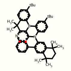 CC(C)(C)c1ccc2c(c1)B1c3cc(C(C)(C)C)ccc3C(C)(C)c3ncnc(c31)N2c1cc2c(cc1-c1ccccc1)C(C)(C)CCC2(C)C